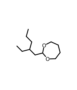 CCCC(CC)CC1OCCCCO1